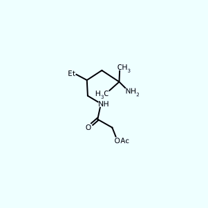 CCC(CNC(=O)COC(C)=O)CC(C)(C)N